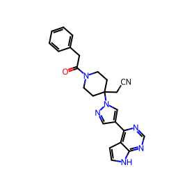 N#CCC1(n2cc(-c3ncnc4[nH]ccc34)cn2)CCN(C(=O)Cc2ccccc2)CC1